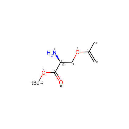 C=C(C)OC[C@H](N)C(=O)OC(C)(C)C